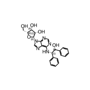 OC[C@H]1O[C@@H](n2cnc3c(N[C@@H](c4ccccc4)[C@H](O)c4ccccc4)ncnc32)[C@@H](O)[C@H]1O